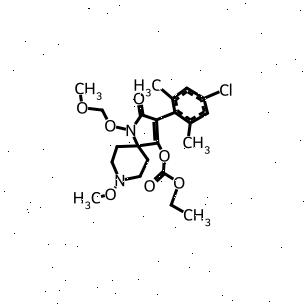 CCOC(=O)OC1=C(c2c(C)cc(Cl)cc2C)C(=O)N(OCOC)C12CCN(OC)CC2